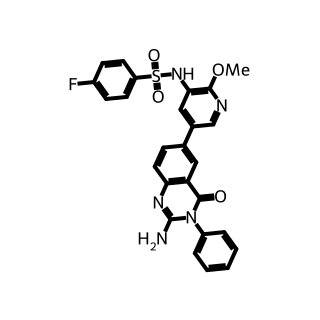 COc1ncc(-c2ccc3nc(N)n(-c4ccccc4)c(=O)c3c2)cc1NS(=O)(=O)c1ccc(F)cc1